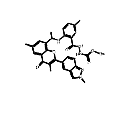 Cc1cc(C(C)Nc2ccc(C)nc2C(=O)NNC(=O)OC(C)(C)C)c2oc(-c3ccc4nn(C)cc4c3)c(C)c(=O)c2c1